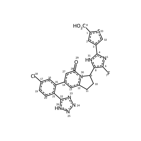 O=C(O)c1cc(-c2nc(F)c(C3CCc4cc(-c5cc(Cl)ccc5-c5nnn[nH]5)cc(=O)n43)[nH]2)cs1